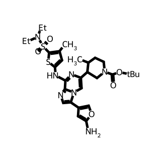 CCN(CC)S(=O)(=O)c1sc(Nc2nc(C3CN(C(=O)OC(C)(C)C)CCC3C)cn3c(-c4coc(N)c4)cnc23)cc1C